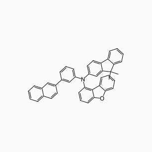 CC1(C)c2ccccc2-c2ccc(N(c3cccc(-c4ccc5ccccc5c4)c3)c3cccc4oc5ccccc5c34)cc21